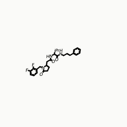 CC(C)C(NC(=O)CC1CCC(=O)N1Cc1cccc(F)c1F)C(=O)NCCCc1ccccc1